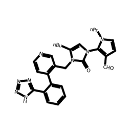 CCCCc1cn(-c2c(C=O)ccn2CCC)c(=O)n1Cc1cnccc1-c1ccccc1-c1nnn[nH]1